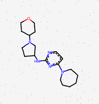 c1cc(N2CCCCCC2)nc(NC2CCN(C3CCOCC3)C2)n1